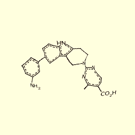 Cc1nc(N2CCc3[nH]c4ccc(-c5cccc(N)c5)cc4c3C2)ncc1C(=O)O